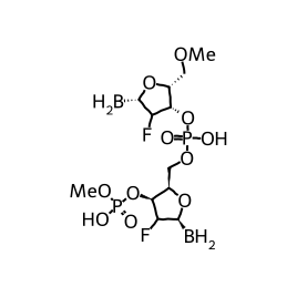 B[C@@H]1O[C@H](COP(=O)(O)O[C@@H]2C(F)[C@H](B)O[C@@H]2COC)[C@H](OP(=O)(O)OC)C1F